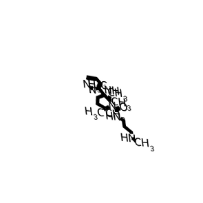 CNCCCNC(=O)N1C(C)(C)CCC(NC)(c2cccnn2)C1(C)C